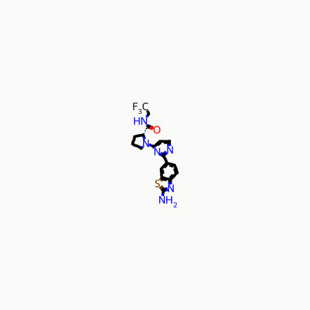 Nc1nc2ccc(-c3nccc(N4CCC[C@@H]4C(=O)NCC(F)(F)F)n3)cc2s1